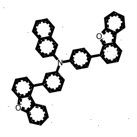 c1cc(-c2cccc3oc4ccccc4c23)cc(N(c2ccc(-c3cccc4c3oc3ccccc34)cc2)c2ccc3ccccc3c2)c1